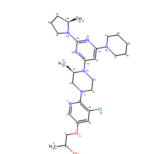 CC(O)COc1cnc(N2CCN(c3cc(N4CCCCC4)nc(N4CCC[C@H]4C)n3)[C@H](C)C2)c(Cl)c1